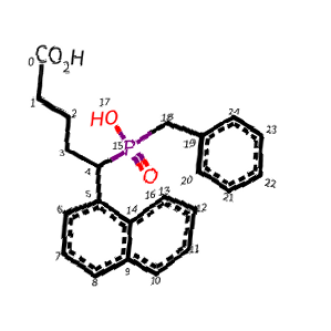 O=C(O)CCCC(c1cccc2ccccc12)P(=O)(O)Cc1ccccc1